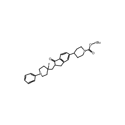 CC(C)(C)OC(=O)N1CCC(c2ccc3c(c2)CC(CC2(F)CCN(c4ccccc4)CC2)C3=O)CC1